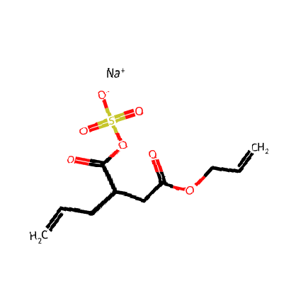 C=CCOC(=O)CC(CC=C)C(=O)OS(=O)(=O)[O-].[Na+]